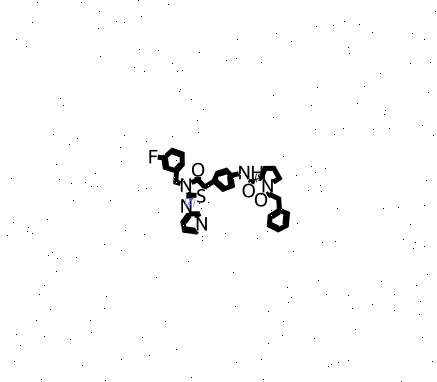 O=C(Nc1ccc(C2S/C(=N\c3cccnc3)N(Cc3cccc(F)c3)C2=O)cc1)[C@@H]1CCCN1C(=O)Cc1ccccc1